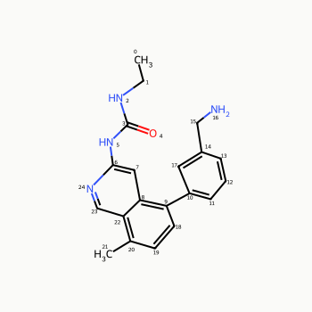 CCNC(=O)Nc1cc2c(-c3cccc(CN)c3)ccc(C)c2cn1